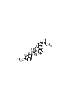 CN[C@@H]1CCN(c2ccc(C(=O)Nc3cc(F)c4nc(C)cn4c3)c3nnccc23)C1